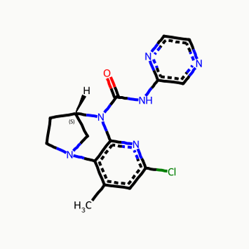 Cc1cc(Cl)nc2c1N1CC[C@@H](C1)N2C(=O)Nc1cnccn1